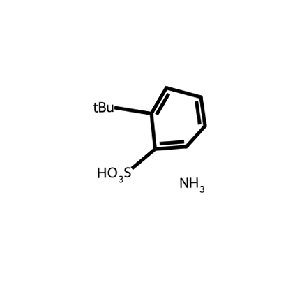 CC(C)(C)c1ccccc1S(=O)(=O)O.N